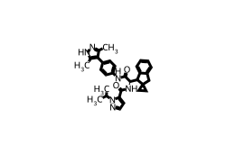 Cc1n[nH]c(C)c1-c1ccc(NC(=O)[C@@H](NC(=O)c2ccnn2C(C)C)C2c3ccccc3CC23CC3)cc1